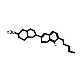 C/C=C/CCc1ccc2cc(C3CCC4CC(CCCC)CCC4C3)ccc2c1F